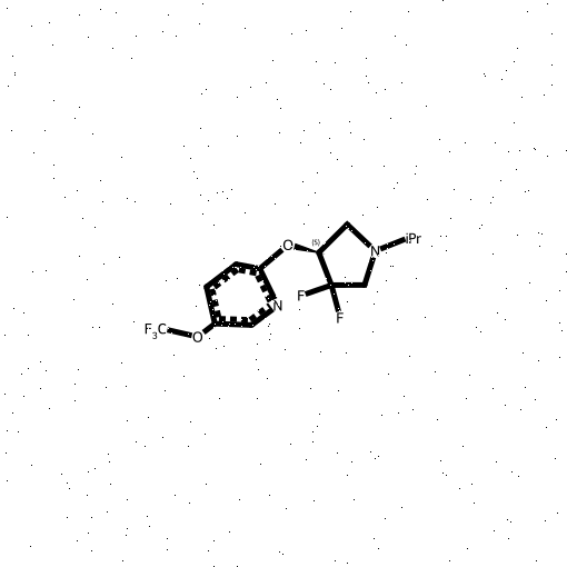 CC(C)N1C[C@H](Oc2ccc(OC(F)(F)F)cn2)C(F)(F)C1